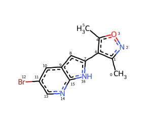 Cc1noc(C)c1-c1cc2cc(Br)cnc2[nH]1